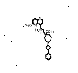 COc1ccc2nccc([C@@H](O)CNC3(C(=O)O)CCCN(C4CC(c5ccccc5)C4)CC3)c2n1